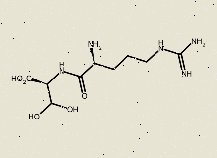 N=C(N)NCCC[C@H](N)C(=O)N[C@H](C(=O)O)C(O)O